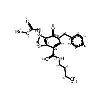 CC(C)(C)OC(=O)NN1CSC2=C1C(=O)C(Cc1ccccc1)C=C2C(=O)NCCCC(F)(F)F